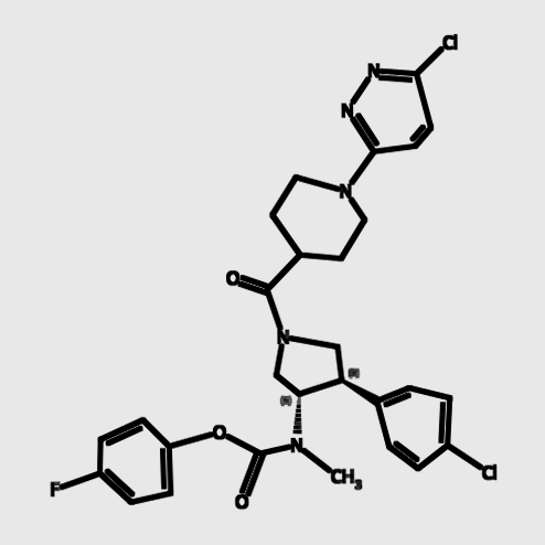 CN(C(=O)Oc1ccc(F)cc1)[C@@H]1CN(C(=O)C2CCN(c3ccc(Cl)nn3)CC2)C[C@H]1c1ccc(Cl)cc1